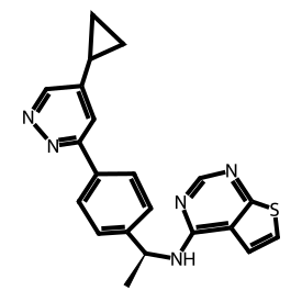 C[C@H](Nc1ncnc2sccc12)c1ccc(-c2cc(C3CC3)cnn2)cc1